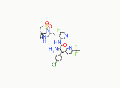 CC(F)(F)c1ccc([C@H](c2ccc(Cl)cc2)[C@H](N)C(=O)Nc2cncc(F)c2CCC2CN[C@@H]3CCCS(=O)(=O)N2C3)cn1